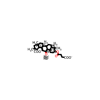 CC12CC[C@](C)(C(=O)[O-])CC1C1=CC(=O)[C@@H]3C4(C)CC[C@H](OC(=O)CCC(=O)[O-])C(C)(C)[C@@H]4CCC3(C)[C@]1(C)CC2.[Na+].[Na+]